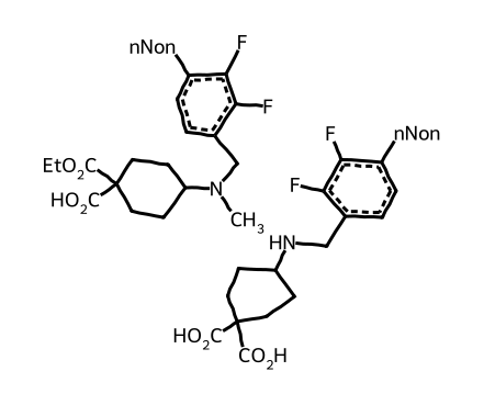 CCCCCCCCCc1ccc(CN(C)C2CCC(C(=O)O)(C(=O)OCC)CC2)c(F)c1F.CCCCCCCCCc1ccc(CNC2CCC(C(=O)O)(C(=O)O)CC2)c(F)c1F